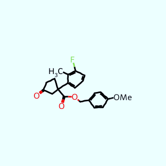 COc1ccc(COC(=O)C2(c3cccc(F)c3C)CCC(=O)C2)cc1